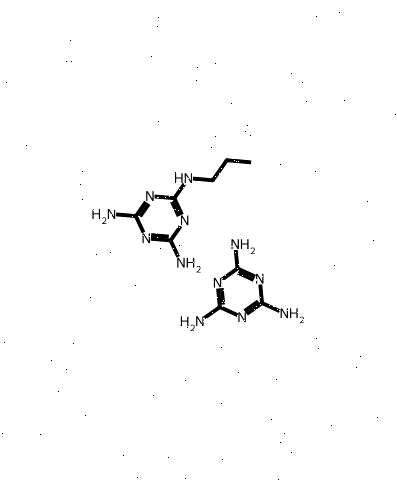 CCCNc1nc(N)nc(N)n1.Nc1nc(N)nc(N)n1